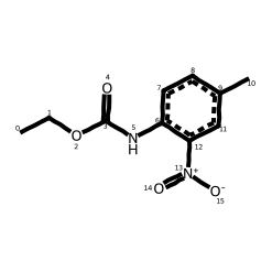 CCOC(=O)Nc1ccc(C)cc1[N+](=O)[O-]